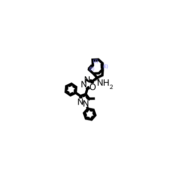 Cc1c(-c2nnc([C@]3(N)C/C4=C/C=C\C=C\C3C4)o2)c(-c2ccccc2)nn1-c1ccccc1